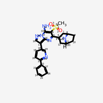 CS(=O)(=O)c1c(C2CC3CC[C@H](C2)N3C#N)nc2c(-c3ccc(-c4ccccc4)nc3)cnn2c1N